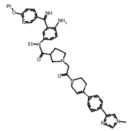 CCN(C(=O)C1CCN(CC(=O)N2CC=C(c3ccc(-c4cn(C)cn4)cc3)CC2)C1)c1ccc(N)c(C(=N)c2ccc(OC(C)C)nc2)c1